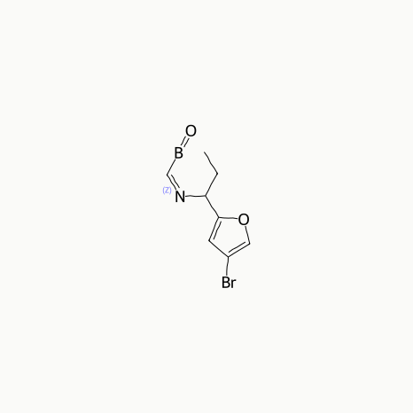 CCC(/N=C\B=O)c1cc(Br)co1